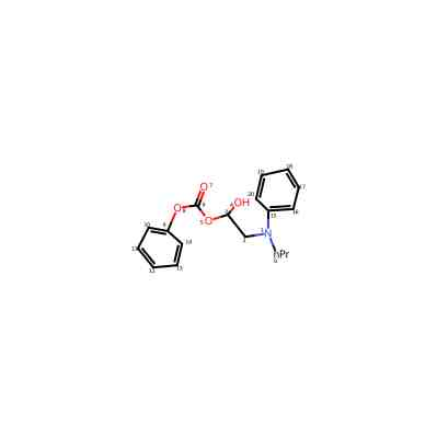 CCCN(CC(O)OC(=O)Oc1ccccc1)c1ccccc1